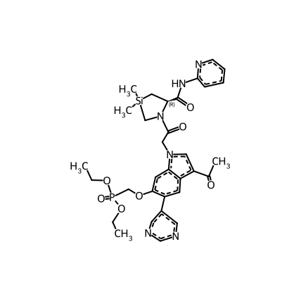 CCOP(=O)(COc1cc2c(cc1-c1cncnc1)c(C(C)=O)cn2CC(=O)N1C[Si](C)(C)C[C@H]1C(=O)Nc1ccccn1)OCC